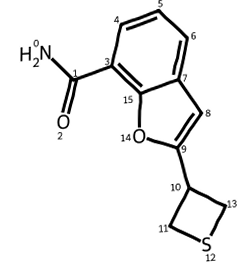 NC(=O)c1cccc2cc(C3CSC3)oc12